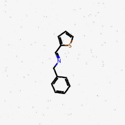 C(=NCc1ccccc1)c1cccs1